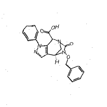 O=C(O)C1c2c(cnn2-c2ccccc2)[C@H]2CN1C(=O)N2OCc1ccccc1